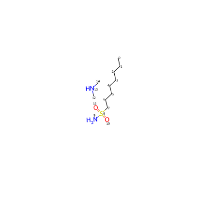 CCCCCCCCS(N)(=O)=O.CNC